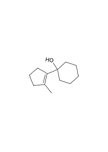 CC1=C(C2(O)CCCCC2)CCC1